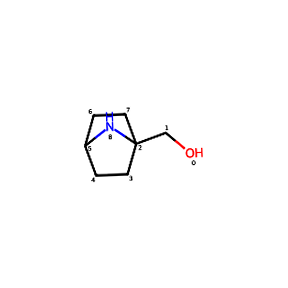 OCC12CCC(CC1)N2